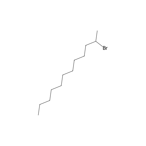 CCCCCCCCCCC(C)Br